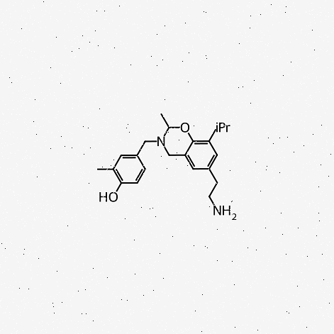 Cc1cc(CN2Cc3cc(CCN)cc(C(C)C)c3OC2C)ccc1O